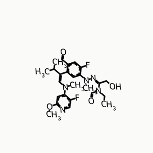 CCN(C=O)/C(CO)=N\N(C)c1cc(/C(=C\N(C)c2cc(OC)ncc2F)C(C)C)c(C=O)cc1F